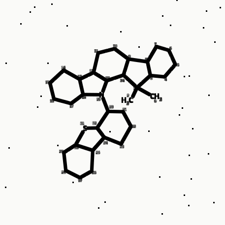 CC1(C)C2CCCCC2C2CCC3C4CCCCC4N(C4CCCC5C6CCCCC6SC54)C3C21